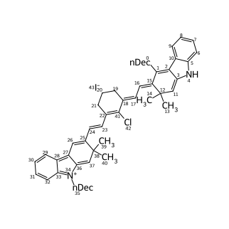 CCCCCCCCCCC1=c2c([nH]c3ccccc23)=CC(C)(C)C1=CC=C1CCCC(C=CC2=CC3=c4ccccc4=[N+](CCCCCCCCCC)C3=CC2(C)C)=C1Cl.[I-]